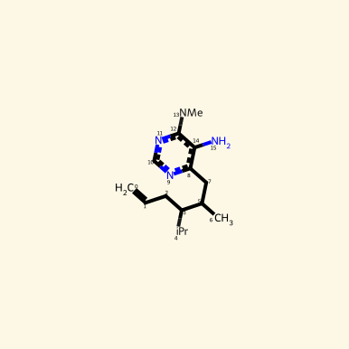 C=CCC(C(C)C)C(C)Cc1ncnc(NC)c1N